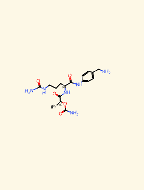 CC(C)[C@H](OC(N)=O)C(=O)N[C@@H](CCCNC(N)=O)C(=O)Nc1ccc(CN)cc1